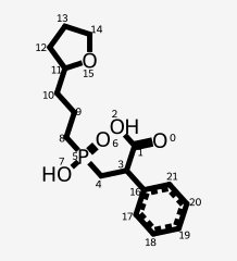 O=C(O)C(CP(=O)(O)CCCC1CCCO1)c1ccccc1